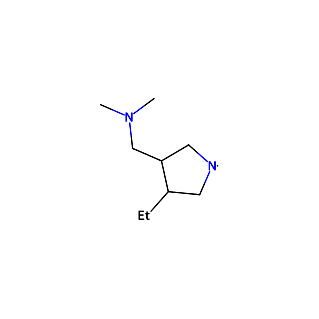 CCC1C[N]CC1CN(C)C